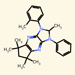 Cc1ccccc1N1c2nc3c(nc2N(c2ccccc2)C1C)C(C)(C)CC3(C)C